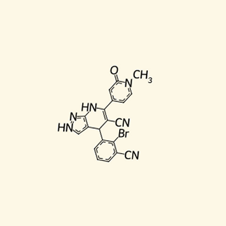 Cn1ccc(C2=C(C#N)C(c3cccc(C#N)c3Br)c3c[nH]nc3N2)cc1=O